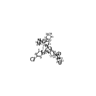 O=C([C@@H](Cc1ccc(Cl)cc1)NC1CCN(C(=O)N2CCOCC2)CC1)N1CCC(Cn2cncn2)(C2CCCCC2)CC1